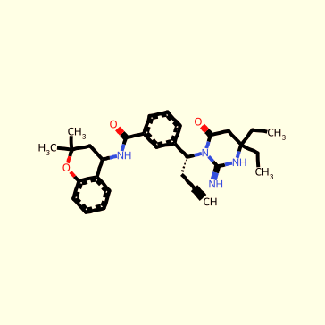 C#CC[C@H](c1cccc(C(=O)NC2CC(C)(C)Oc3ccccc32)c1)N1C(=N)NC(CC)(CC)CC1=O